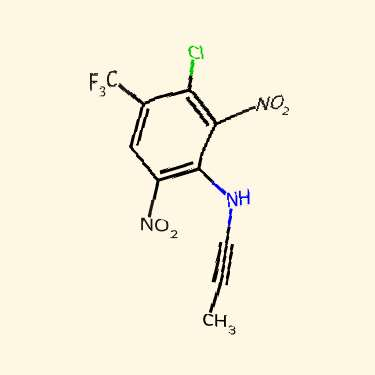 CC#CNc1c([N+](=O)[O-])cc(C(F)(F)F)c(Cl)c1[N+](=O)[O-]